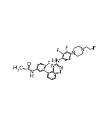 C=CC(=O)Nc1ccc(F)c(-c2cccc3cnc(Nc4ccc(N5CCN(CCF)CC5)c(F)c4F)nc23)c1